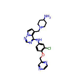 NC1CCN(Cc2ccn3ncnc(Nc4ccc(OCc5cnccn5)c(Cl)c4)c23)CC1